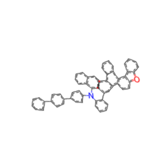 c1ccc(-c2ccc(-c3ccc(N(c4ccccc4-c4ccc5c6ccccc6c6c(ccc7oc8ccccc8c76)c5c4)c4cccc5ccccc45)cc3)cc2)cc1